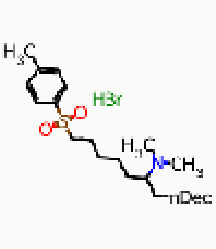 Br.CCCCCCCCCCCC(CCCCCS(=O)(=O)c1ccc(C)cc1)N(C)C